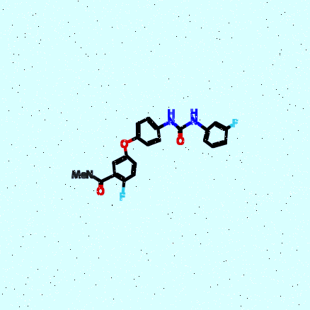 CNC(=O)c1cc(Oc2ccc(NC(=O)Nc3cccc(F)c3)cc2)ccc1F